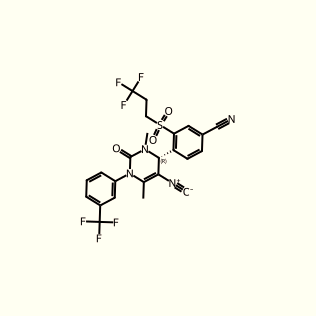 [C-]#[N+]C1=C(C)N(c2cccc(C(F)(F)F)c2)C(=O)N(C)[C@@H]1c1ccc(C#N)cc1S(=O)(=O)CCC(F)(F)F